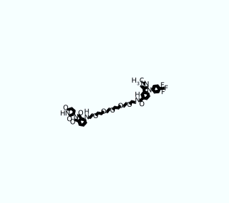 Cn1cc2c3cc(C(=O)NCCOCCOCCOCCOCCOCCNc4cccc5c4C(=O)N(C4CCC(=O)NC4=O)C5=O)ccc3n(-c3ccc(C(F)(F)F)cc3)c2n1